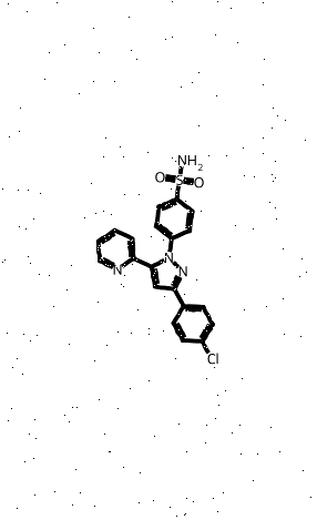 NS(=O)(=O)c1ccc(-n2nc(-c3ccc(Cl)cc3)cc2-c2ccccn2)cc1